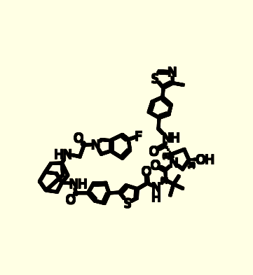 Cc1ncsc1-c1ccc(CNC(=O)[C@@H]2C[C@@H](O)CN2C(=O)[C@@H](NC(=O)c2csc(-c3ccc(C(=O)NC45CC6CC(CC(NCC(=O)N7Cc8ccc(F)cc8C7)(C6)C4)C5)cc3)c2)C(C)(C)C)cc1